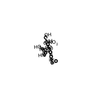 CC(C)c1ccccc1[C@@H]1CCCN1C1CC2(CCN(c3ccc(C(=O)NS(=O)(=O)c4cc5c(c([N+](=O)[O-])c4)N[C@@H]([C@H]4CC[C@](C)(O)CC4)CO5)c(Oc4cc5cc[nH]c5nc4O[C@@H]4C[C@@H](CO)N(C)C4)c3)CC2)C1